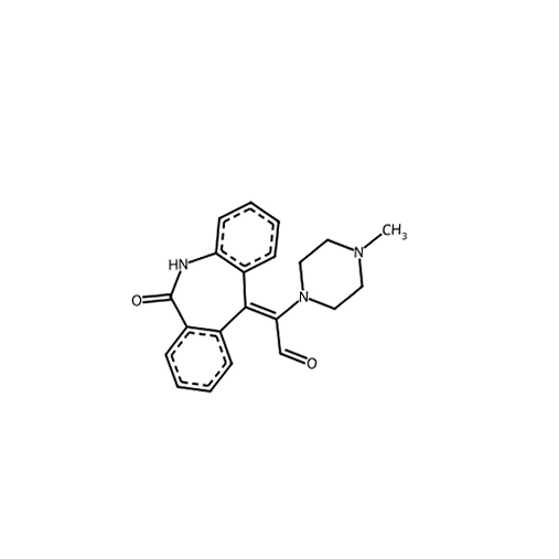 CN1CCN(C(C=O)=C2c3ccccc3NC(=O)c3ccccc32)CC1